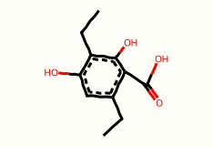 CCc1cc(O)c(CC)c(O)c1C(=O)O